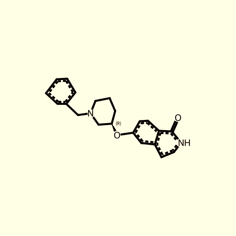 O=c1[nH]ccc2cc(O[C@@H]3CCCN(Cc4ccccc4)C3)ccc12